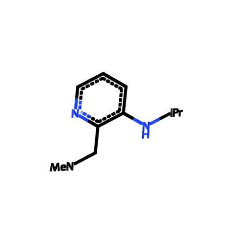 CNCc1ncccc1NC(C)C